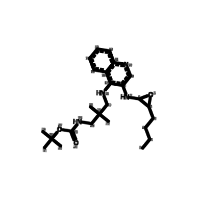 CCCCC1OC1Nc1cnc2ccccc2c1NCC(C)(C)CNC(=O)OC(C)(C)C